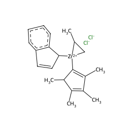 CC1=C(C)C(C)[C]([Zr+2]2([CH]3C=Cc4ccccc43)[CH2][CH]2C)=C1C.[Cl-].[Cl-]